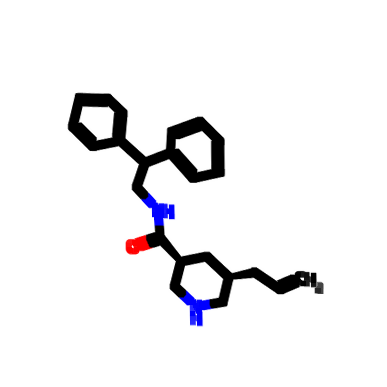 C=CC[C@H]1CNC[C@@H](C(=O)NCC(c2ccccc2)c2ccccc2)C1